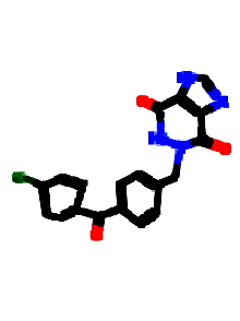 O=C(c1ccc(Cl)cc1)c1ccc(Cn2[nH]c(=O)c3[nH]cnc3c2=O)cc1